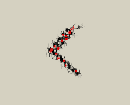 O=P(O)(O)OP(=O)([O-])OP(=O)(O)O.O=P(O)(O)OP(=O)([O-])OP(=O)(O)O.O=P(O)(O)OP(=O)([O-])OP(=O)(O)O.O=P(O)(O)OP(=O)([O-])OP(=O)(O)O.O=P(O)(O)OP(=O)([O-])OP(=O)(O)O.O=P(O)(O)OP(=O)([O-])OP(=O)(O)O.O=P(O)(O)OP(=O)([O-])OP(=O)(O)O.O=P(O)(O)OP(=O)([O-])OP(=O)(O)O.[Ca+2].[Ca+2].[Ca+2].[Ca+2]